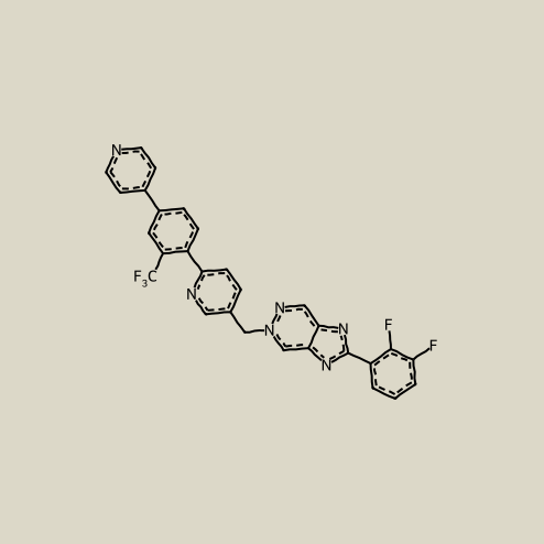 Fc1cccc(-c2nc3cnn(Cc4ccc(-c5ccc(-c6ccncc6)cc5C(F)(F)F)nc4)cc-3n2)c1F